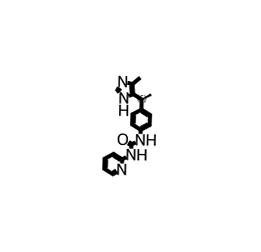 Cc1nc[nH]c1[C@@H](C)c1ccc(NC(=O)Nc2ccccn2)cc1